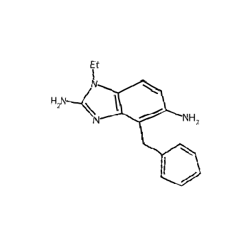 CCn1c(N)nc2c(Cc3ccccc3)c(N)ccc21